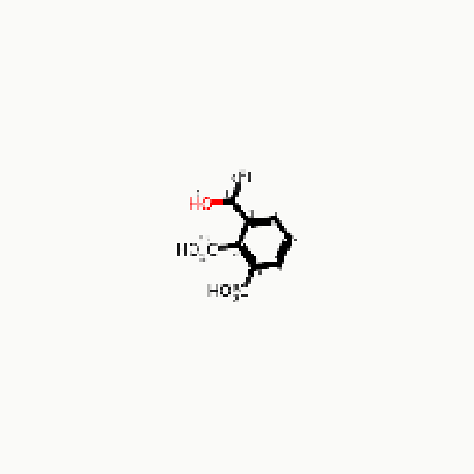 CCC(O)c1cccc(C(=O)O)c1C(=O)O